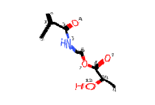 C=C(C)C(=O)NCOC(=O)C(C)O